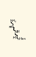 CCCCCCNCCNCCNCCN